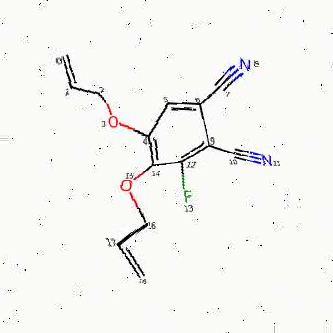 C=CCOc1cc(C#N)c(C#N)c(F)c1OCC=C